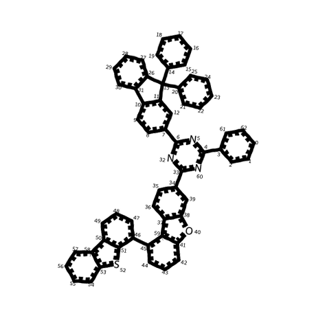 c1ccc(-c2nc(-c3ccc4c(c3)C(c3ccccc3)(c3ccccc3)c3ccccc3-4)nc(-c3ccc4c(c3)oc3cccc(-c5cccc6c5sc5ccccc56)c34)n2)cc1